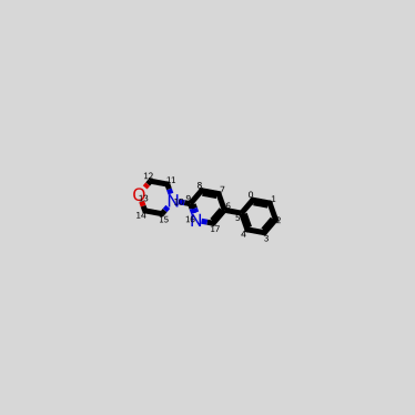 [c]1ccccc1-c1ccc(N2CCOCC2)nc1